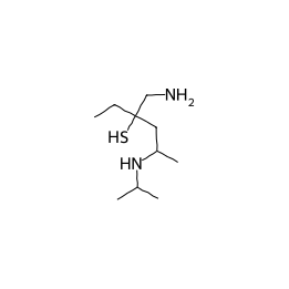 CCC(S)(CN)CC(C)NC(C)C